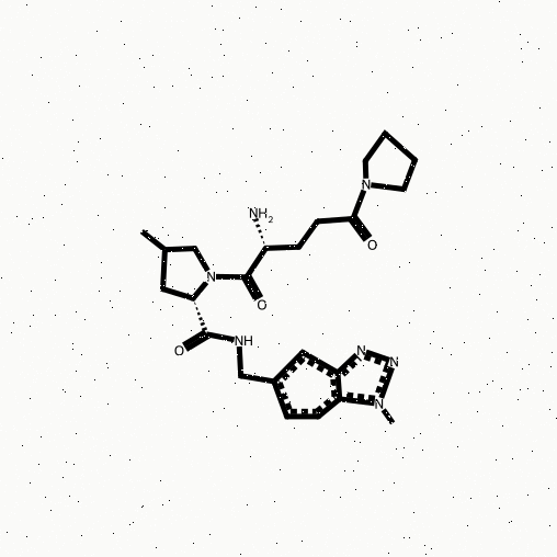 CC1C[C@@H](C(=O)NCc2ccc3c(c2)nnn3C)N(C(=O)[C@H](N)CCC(=O)N2CCCC2)C1